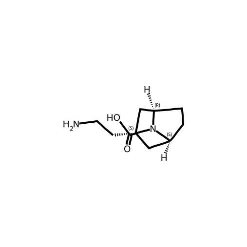 NCC[C@@H]1C[C@H]2CC[C@@H](C1)N2C(=O)O